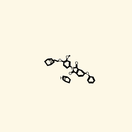 C1CC2CCC1N2.COc1cc(N2C(=O)c3ccc(Oc4ccccc4)cc3C2=O)ccc1OCCN1C2CCC1CC2